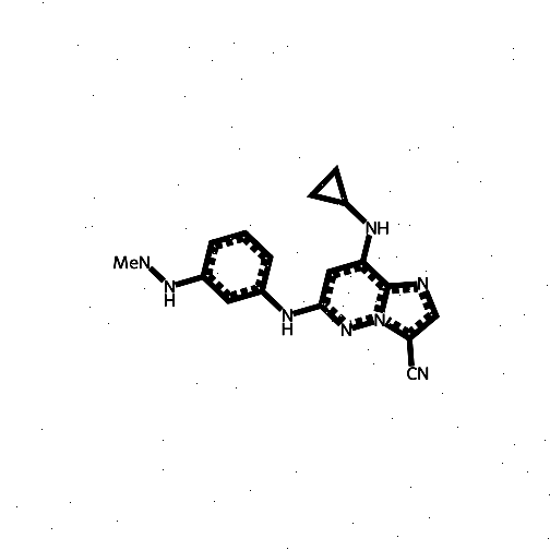 CNNc1cccc(Nc2cc(NC3CC3)c3ncc(C#N)n3n2)c1